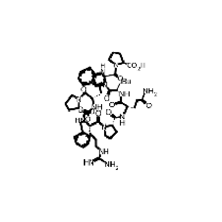 CC[C@H](C)[C@H](NC(=O)[C@H](CCC(N)=O)NC(=O)[C@@H]1CCCN1C(=O)[C@H](CCCNC(=N)N)NC(=O)[C@@H]1CCCN1C(=O)[C@H](Cc1c[nH]c2ccccc12)NC(=O)OCc1ccccc1)C(=O)N1CCC[C@H]1C(=O)N1CCC[C@H]1C(=O)O